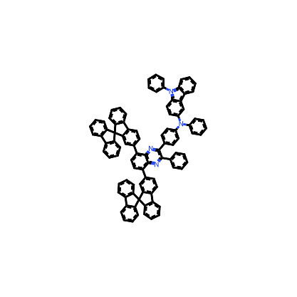 c1ccc(-c2nc3c(-c4ccc5c(c4)C4(c6ccccc6-c6ccccc64)c4ccccc4-5)ccc(-c4ccc5c(c4)C4(c6ccccc6-c6ccccc64)c4ccccc4-5)c3nc2-c2ccc(N(c3ccccc3)c3ccc4c(c3)c3ccccc3n4-c3ccccc3)cc2)cc1